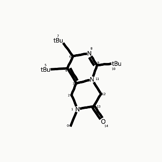 CN1CC2=C(C(C)(C)C)C(C(C)(C)C)N=C(C(C)(C)C)N2CC1=O